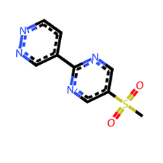 CS(=O)(=O)c1cnc(-c2ccnnc2)nc1